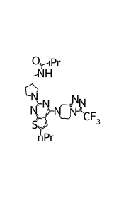 CCCc1cc2c(N3CCn4c(nnc4C(F)(F)F)C3)nc(N3CC[C@H](CNC(=O)C(C)C)C3)nc2s1